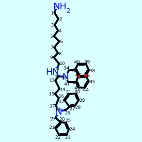 NCCCCCCCCCCNC(CCCCCN(Cc1ccccc1)Cc1ccccc1)N(Cc1ccccc1)Cc1ccccc1